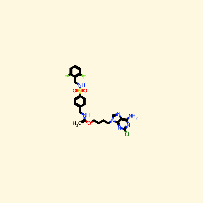 C=C(NCc1ccc(S(=O)(=O)NCc2c(F)cccc2F)cc1)OCCCCn1cnc2c(N)nc(Cl)nc21